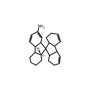 NC1=CC2C(C=C1)C1CCCC[C@H]1C21C2CCC=CC2C2C=CCCC21